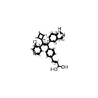 OC(O)/C=C/c1ccc(/C(=C(\c2ccncc2Cl)C2CCC2)c2ccc3[nH]ncc3c2)cc1